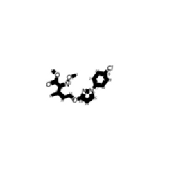 CON=C(C(=O)OC)C(C)=CCOc1ccn(-c2ccc(Cl)cc2)n1